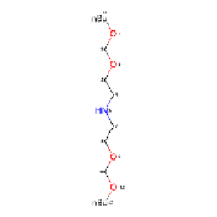 CCCCOCOCCNCCOCOCCCC